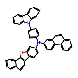 c1ccc2c(c1)ccc1cc(N(c3ccc(-n4c5ccccc5c5ccccc54)cc3)c3ccc4c(c3)oc3c5ccccc5ccc43)ccc12